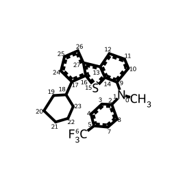 CN(c1ccc(C(F)(F)F)cc1)c1cccc2c1sc1c(C3CCCCC3)cccc12